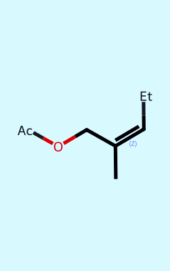 CC/C=C(/C)COC(C)=O